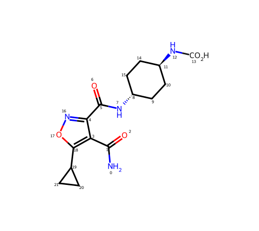 NC(=O)c1c(C(=O)N[C@H]2CC[C@H](NC(=O)O)CC2)noc1C1CC1